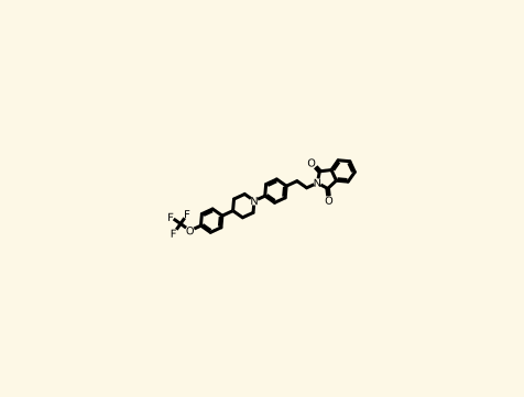 O=C1c2ccccc2C(=O)N1CCc1ccc(N2CCC(c3ccc(OC(F)(F)F)cc3)CC2)cc1